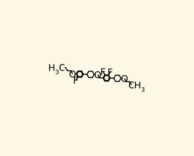 CCCCOc1ccc(C2CCC(OCc3ccc(C4CCC(OCCC)CC4)c(F)c3F)CC2)cc1F